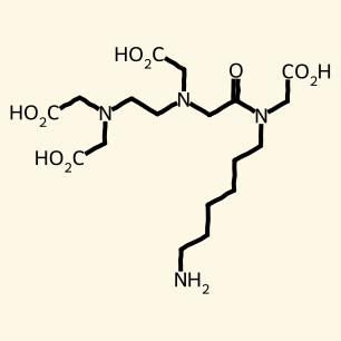 NCCCCCCN(CC(=O)O)C(=O)CN(CCN(CC(=O)O)CC(=O)O)CC(=O)O